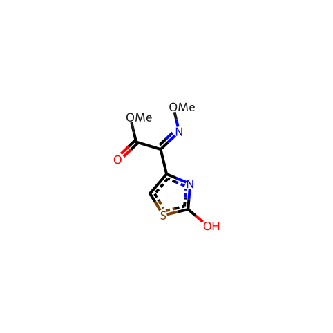 CO/N=C(\C(=O)OC)c1csc(O)n1